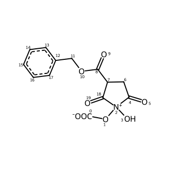 O=C([O-])O[N+]1(O)C(=O)CC(C(=O)OCc2ccccc2)C1=O